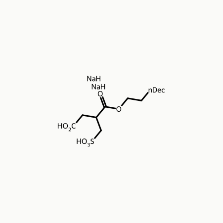 CCCCCCCCCCCCOC(=O)C(CC(=O)O)CS(=O)(=O)O.[NaH].[NaH]